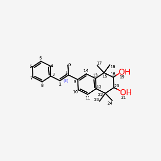 C/C(=C\c1ccccc1)c1ccc2c(c1)C(C)(C)C(O)C(O)C2(C)C